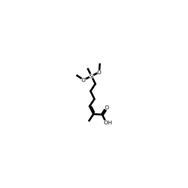 CO[Si](C)(CCCC=C(C)C(=O)O)OC